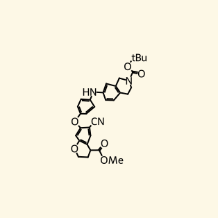 COC(=O)C1CCOc2cc(Oc3ccc(Nc4ccc5c(c4)CN(C(=O)OC(C)(C)C)CC5)cc3)c(C#N)cc21